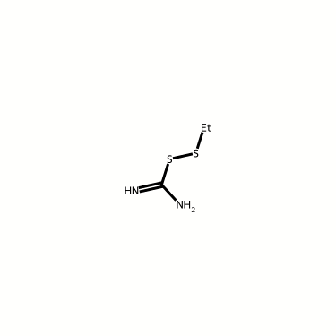 CCSSC(=N)N